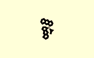 C=C1CC1B(c1cccc2cc3ccccc3cc12)c1cccc2cc3ccccc3cc12